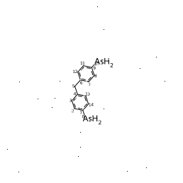 [AsH2]c1ccc(Cc2ccc([AsH2])cc2)cc1